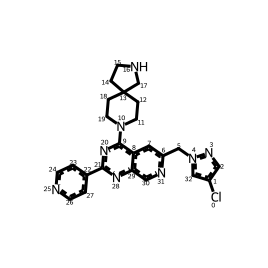 Clc1cnn(Cc2cc3c(N4CCC5(CCNC5)CC4)nc(-c4ccncc4)nc3cn2)c1